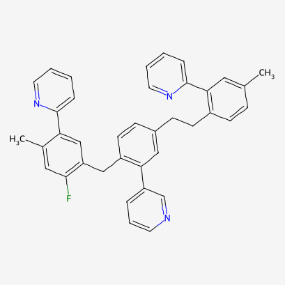 Cc1ccc(CCc2ccc(Cc3cc(-c4ccccn4)c(C)cc3F)c(-c3cccnc3)c2)c(-c2ccccn2)c1